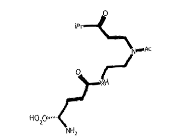 CC(=O)N(CCNC(=O)CC[C@H](N)C(=O)O)CCC(=O)C(C)C